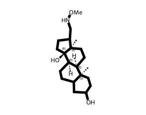 CONCC1CC[C@@]2(O)[C@@H]3CCC4CC(O)CC[C@]4(C)[C@@H]3CC[C@]12C